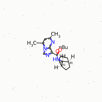 CCCCO[C@@H]1C[C@H]2CC[C@@H](C1)[C@H]2NC(=O)c1ncn2c(C)cc(C)nc12